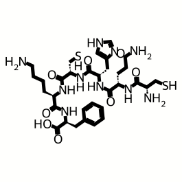 NCCCC[C@@H](NC(=O)[C@H](CS)NC(=O)[C@H](Cc1c[nH]cn1)NC(=O)[C@H](CCC(N)=O)NC(=O)[C@@H](N)CS)C(=O)N[C@@H](Cc1ccccc1)C(=O)O